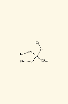 CCO[Si](CC(C)(C)C)(CC(C)(C)C)OC